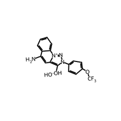 Nc1cc2c(O)n(-c3ccc(OC(F)(F)F)cc3)n[n+]2c2ccccc12.[OH-]